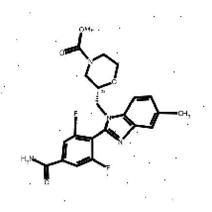 COC(=O)N1CCO[C@H](Cn2c(-c3c(F)cc(C(N)=O)cc3F)nc3cc(C)ccc32)C1